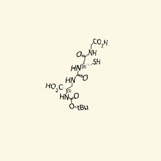 CC(C)(C)OC(=O)N[C@@H](CNC(=O)N[C@@H](CS)C(=O)NCC(=O)O)C(=O)O